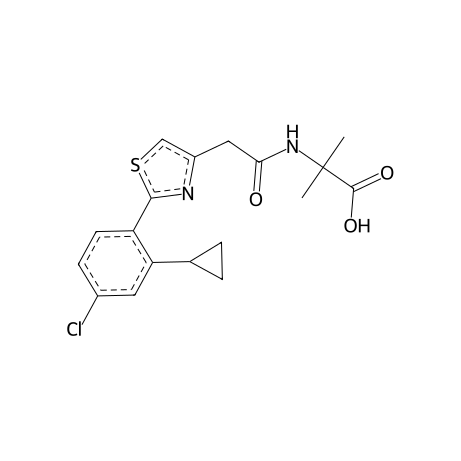 CC(C)(NC(=O)Cc1csc(-c2ccc(Cl)cc2C2CC2)n1)C(=O)O